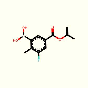 C=C(C)OC(=O)c1cc(F)c(C)c(B(O)O)c1